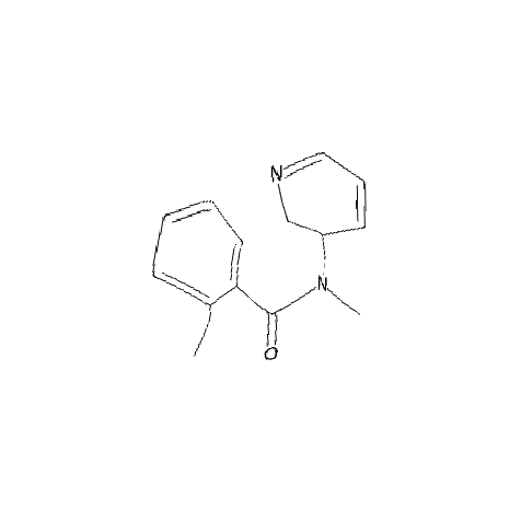 Cc1ccccc1C(=O)N(C)C1C=CC=NC1